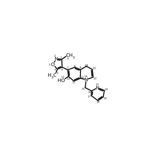 Cc1noc(C)c1-c1cc2c(cc1O)N(Cc1ccccn1)C=CC2